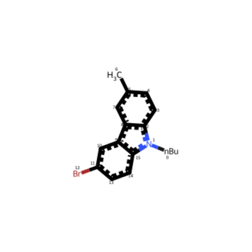 CCCCn1c2ccc(C)cc2c2cc(Br)ccc21